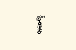 CCCCCCCCc1ncc(-c2ccc(OC(=O)[C@H]3COC4(CCCCC4)O3)cc2)cn1